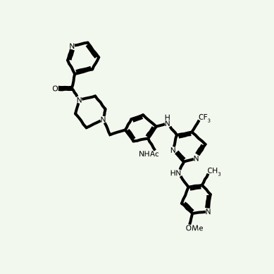 COc1cc(Nc2ncc(C(F)(F)F)c(Nc3ccc(CN4CCN(C(=O)c5cccnc5)CC4)cc3NC(C)=O)n2)c(C)cn1